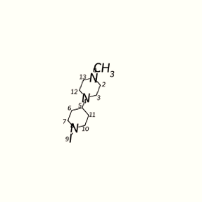 CN1CCN(C2CCN(I)CC2)CC1